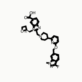 Cn1nc(F)c2ccc(COc3cccc(C4CCN(Cc5nc6ccc(C(=O)O)cc6n5C[C@@H]5CCO5)CC4)n3)cc21